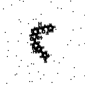 Cc1ncc(NC(=O)CC2CCCN2C)cc1NC(=O)c1cnc2[nH]c(-c3cnn(C)c3)cc2c1